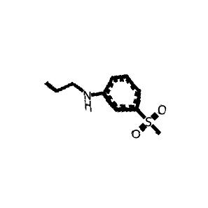 CCCNc1cccc(S(C)(=O)=O)c1